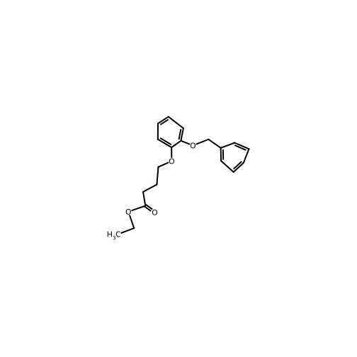 CCOC(=O)CCCOc1ccccc1OCc1ccccc1